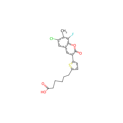 Cc1c(Cl)cc2cc(-c3ccc(CCCCCC(=O)O)s3)c(=O)oc2c1F